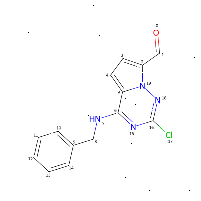 O=Cc1ccc2c(NCc3ccccc3)nc(Cl)nn12